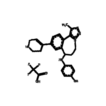 Cc1nnn2c1-c1ccc(C3=CCNCC3)cc1C(Nc1ccc(O)cc1)CC2.O=C(O)C(F)(F)F